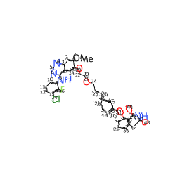 COc1cc2ncnc(Nc3cccc(Cl)c3F)c2cc1OCCOCCCc1cccc(Oc2cccc3c2C(=O)NC(=O)C3)c1